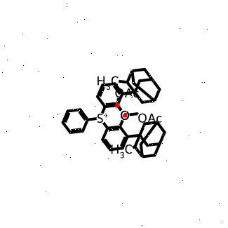 CC(=O)OCOc1c([S+](c2ccccc2)c2cccc(C34CC5CC(CC(C5)C3C)C4)c2OCOC(C)=O)cccc1C12CC3CC(CC(C3)C1C)C2